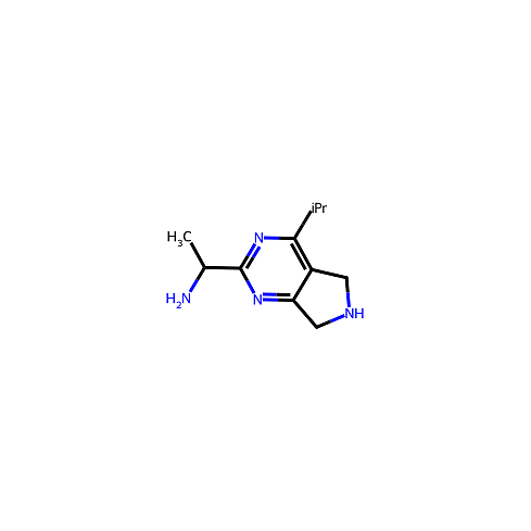 CC(C)c1nc(C(C)N)nc2c1CNC2